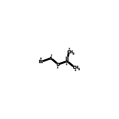 CCSO[SiH](C)C